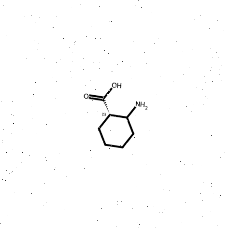 NC1CCCC[C@@H]1C(=O)O